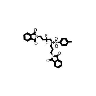 Cc1ccc(S(=O)(=O)N(CCCN2C(=O)c3ccccc3C2=O)CC(F)(F)CCN2C(=O)c3ccccc3C2=O)cc1